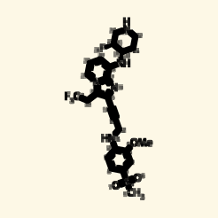 COc1cc(S(C)(=O)=O)ccc1NCC#Cc1nc2c(N[C@@H]3CCNC[C@@H]3F)cccn2c1CC(F)(F)F